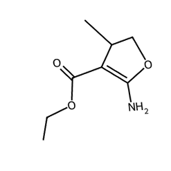 CCOC(=O)C1=C(N)OCC1C